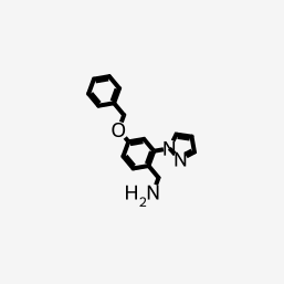 NCc1ccc(OCc2ccccc2)cc1-n1cccn1